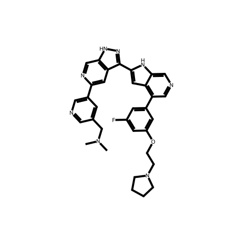 CN(C)Cc1cncc(-c2cc3c(-c4cc5c(-c6cc(F)cc(OCCN7CCCC7)c6)cncc5[nH]4)n[nH]c3cn2)c1